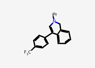 CC(C)N1C=C(c2ccc(C(F)(F)F)cc2)c2ccccc2C1